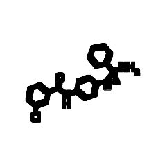 N[C@]1(c2ccccc2)C[C@H]1c1ccc(NC(=O)c2cccc(Cl)c2)cc1